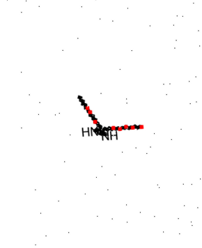 CCCCCCCCCCCCCCCCCCc1c(C=N)ccc(C=N)c1CCCCCCCCCCCCCCCCCC